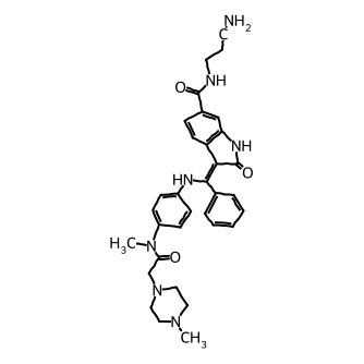 CN1CCN(CC(=O)N(C)c2ccc(NC(=C3C(=O)Nc4cc(C(=O)NCCCN)ccc43)c3ccccc3)cc2)CC1